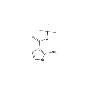 CC(C)(C)OC(=O)c1cc[nH]c1N